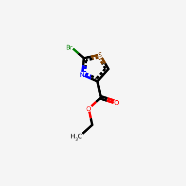 CCOC(=O)c1csc(Br)n1